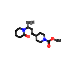 CC(C)(C)OC(=O)N1CCC(CCC(C(=O)O)N2CCCCC2=O)CC1